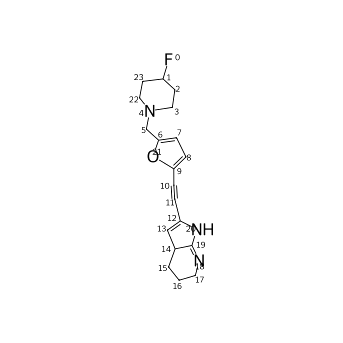 FC1CCN(Cc2ccc(C#CC3=CC4CCCN=C4N3)o2)CC1